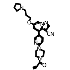 C#CC(=O)N1CCN(c2ccc(-c3cc(OCCCN4CCCC4)cn4ncc(C#N)c34)cn2)CC1